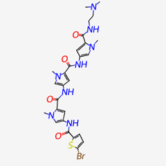 CN(C)CCNC(=O)c1cc(NC(=O)c2cc(NC(=O)c3cc(NC(=O)c4ccc(Br)s4)cn3C)cn2C)cn1C